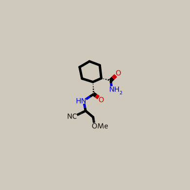 COCC(C#N)NC(=O)[C@@H]1CCCC[C@@H]1C(N)=O